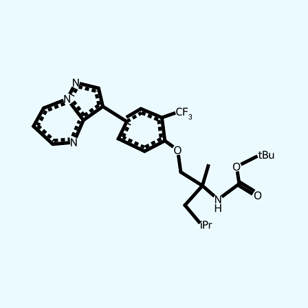 CC(C)CC(C)(COc1ccc(-c2cnn3cccnc23)cc1C(F)(F)F)NC(=O)OC(C)(C)C